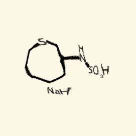 O=S(=O)(O)NC1CCCCCSC1.[NaH]